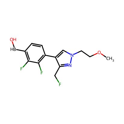 COCCn1cc(-c2ccc(BO)c(F)c2F)c(CF)n1